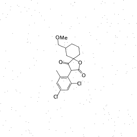 COCC1CCCC2(C1)OC(=O)C(c1c(C)cc(Cl)cc1Cl)C2=O